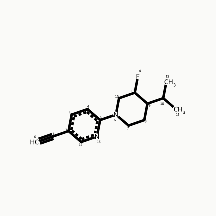 C#Cc1ccc(N2CCC(C(C)C)C(F)C2)nc1